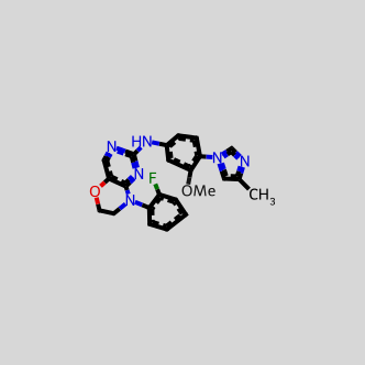 COc1cc(Nc2ncc3c(n2)N(c2ccccc2F)CCO3)ccc1-n1cnc(C)c1